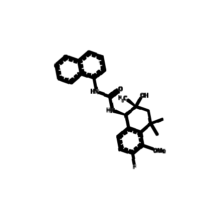 COc1c(F)ccc2c1C(C)(C)C[C@](O)(C(F)(F)F)[C@@H]2NC(=O)Nc1cccc2ccccc12